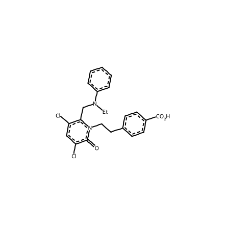 CCN(Cc1c(Cl)cc(Cl)c(=O)n1CCc1ccc(C(=O)O)cc1)c1ccccc1